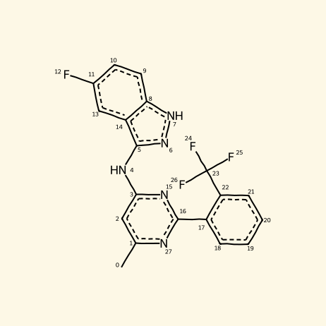 Cc1cc(Nc2n[nH]c3ccc(F)cc23)nc(-c2ccccc2C(F)(F)F)n1